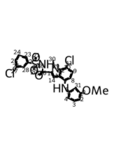 COc1cccc(Nc2ccc(Cl)c3c2cc(C(=O)NS(=O)(=O)c2cccc(Cl)c2)n3C)c1